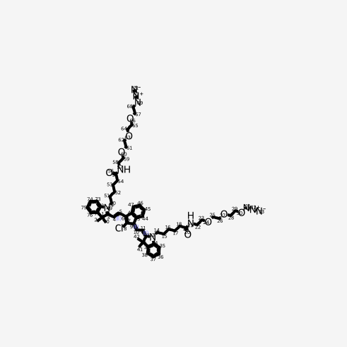 CC1(C)C(/C=C/C2=C(Cl)C(=C/C=C3/N(CCCCCC(=O)NCCOCCOCCON=[N+]=[N-])c4ccccc4C3(C)C)/c3ccccc32)=[N+](CCCCCC(=O)NCCOCCOCCOCCN=[N+]=[N-])c2ccccc21